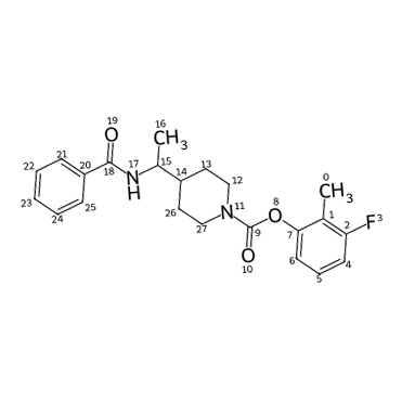 Cc1c(F)cccc1OC(=O)N1CCC(C(C)NC(=O)c2ccccc2)CC1